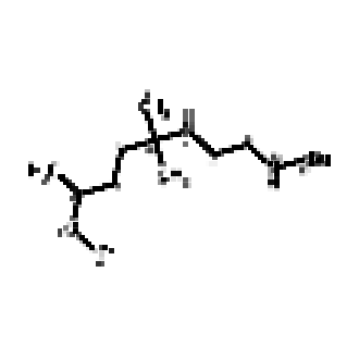 CC(C)OC(C)CCC(C)(C)NCCNC(C)(C)C